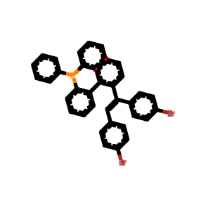 Brc1ccc(/C=C(\c2ccc(Br)cc2)c2ccccc2-c2ccccc2P(c2ccccc2)c2ccccc2)cc1